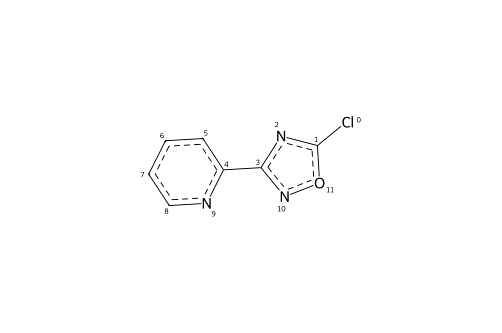 Clc1nc(-c2ccccn2)no1